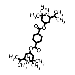 CC(C)C1CC(OC(=O)C2CCC(C(=O)OC3CC(C(C)C)NC(C)(C)C3)CC2)CC(C)(C)N1